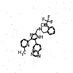 Cc1cccc(-c2nc(CN(C)Cc3ccccc3OC(F)(F)F)[nH]c2-c2ccc3ncnn3c2)n1